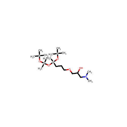 CN(C)CC(O)COCCC[Si](C)(O[Si](C)(C)C)O[Si](C)(C)O[Si](C)(C)C